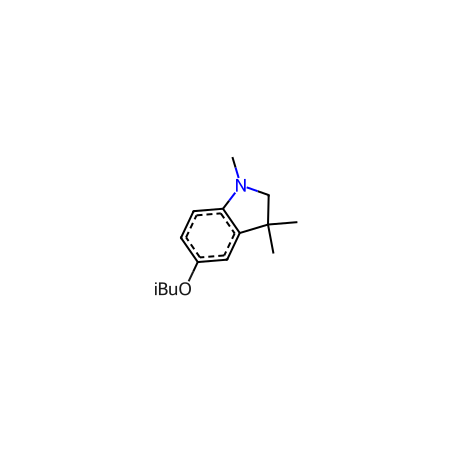 CC(C)COc1ccc2c(c1)C(C)(C)CN2C